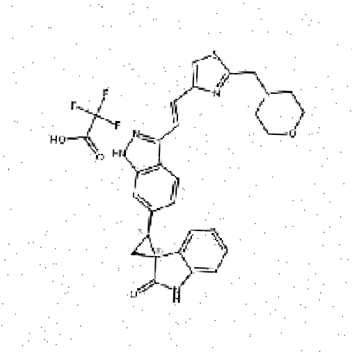 O=C(O)C(F)(F)F.O=C1Nc2ccccc2[C@]12C[C@H]2c1ccc2c(C=Cc3csc(CN4CCOCC4)n3)n[nH]c2c1